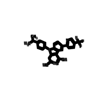 CC(C)c1ccc(-n2c(CC(=O)O)c(C(=O)O)c3cc(-c4ccc(C(F)(F)F)cn4)ccc32)cc1